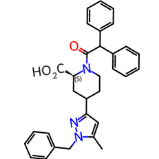 Cc1cc(C2CCN(C(=O)C(c3ccccc3)c3ccccc3)[C@H](C(=O)O)C2)nn1Cc1ccccc1